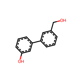 OCc1cc[c]c(-c2cccc(O)c2)c1